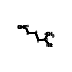 CCC(C)CCCC=O